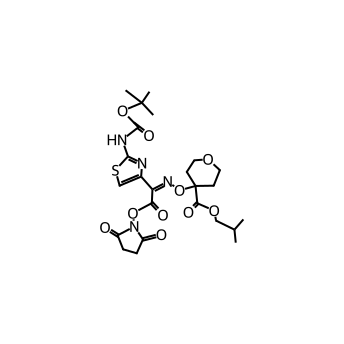 CC(C)COC(=O)C1(O/N=C(\C(=O)ON2C(=O)CCC2=O)c2csc(NC(=O)OC(C)(C)C)n2)CCOCC1